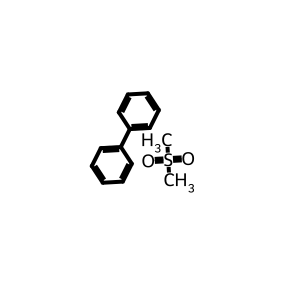 CS(C)(=O)=O.c1ccc(-c2ccccc2)cc1